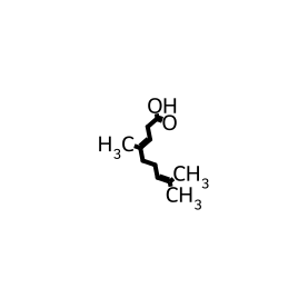 CC(C)=CCCC(C)=CCC(=O)O